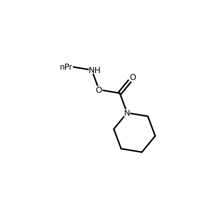 CCCNOC(=O)N1CCCCC1